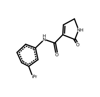 CC(C)c1cccc(NC(=O)C2=CCNC2=O)c1